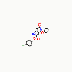 CC1=C2CNC(C(=O)OCc3ccc(F)cc3)=CC2C(=O)N(Cc2ccccc2)C1=O